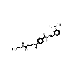 CN(C)c1cccc(/C=N/NC(=O)c2ccc(NCCCC(=O)NCCO)cc2)c1